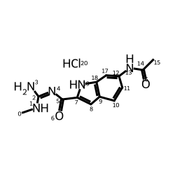 CNC(N)=NC(=O)c1cc2ccc(NC(C)=O)cc2[nH]1.Cl